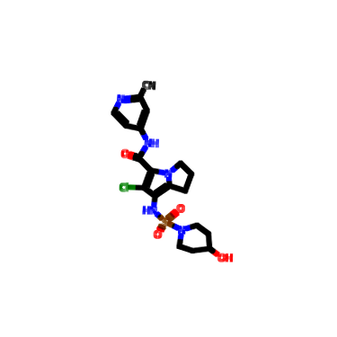 N#Cc1cc(NC(=O)c2c(Cl)c(NS(=O)(=O)N3CCC(O)CC3)c3n2CCC3)ccn1